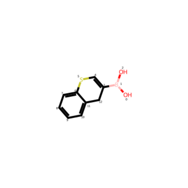 OB(O)C1=CSc2ccccc2C1